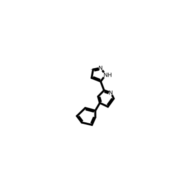 [c]1cc(-c2cc(-c3ccccc3)ccn2)[nH]n1